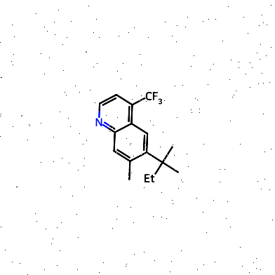 CCC(C)(C)c1cc2c(C(F)(F)F)ccnc2cc1C